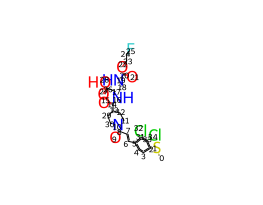 CSc1ccc(/C=C/C(=O)N2CCC(C(=O)N[C@@H](CNC(=O)OCCF)C(=O)O)CC2)c(Cl)c1Cl